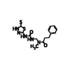 CN(CNC(=O)Nc1n[nH]c(=S)s1)C(=O)CCc1ccccc1